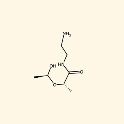 C[C@H](O[C@@H](C)O)C(=O)NCCN